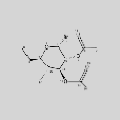 CC[C@H]1O[C@H](Br)[C@H](OC(C)=O)[C@@H](OC(C)=O)[C@@H]1C